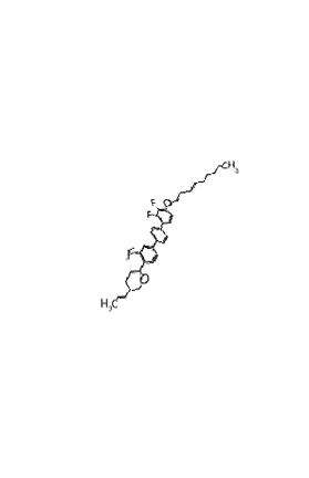 C/C=C/C1CCC(c2ccc(-c3ccc(-c4ccc(OCCCCCCCCC)c(F)c4F)cc3)cc2F)OC1